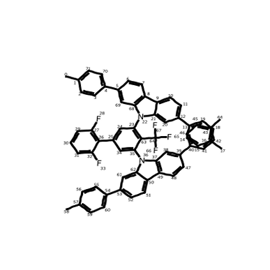 Cc1ccc(-c2ccc3c4ccc(-c5ccc(C)cc5)cc4n(-c4cc(-c5c(F)cccc5F)cc(-n5c6cc(-c7ccc(C)cc7)ccc6c6ccc(-c7ccc(C)cc7)cc65)c4C(F)(F)F)c3c2)cc1